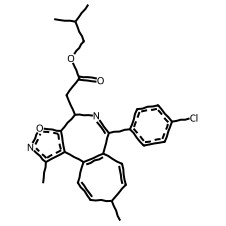 Cc1noc2c1C1=C(C=CC(C)C=C1)C(c1ccc(Cl)cc1)=NC2CC(=O)OCC(C)C